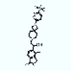 Cc1c(C(O)CN2CCC3(CC2)CN(c2ccc(S(C)(=O)=O)nn2)C3)ccc2c1COC2=O